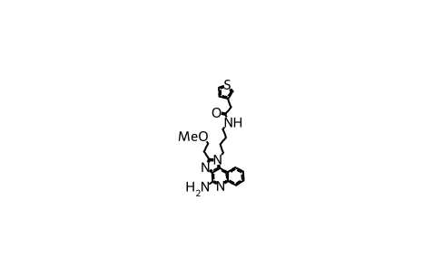 COCCc1nc2c(N)nc3ccccc3c2n1CCCCNC(=O)Cc1ccsc1